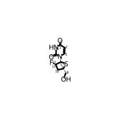 O=c1ccn([C@@H]2S[C@H](CO)C[C@H]2F)c(=O)[nH]1